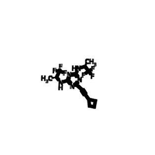 C[C@@H](Nc1nc(C#CC2CCC2)nc(N[C@H](C)C(F)(F)F)n1)C(F)(F)F